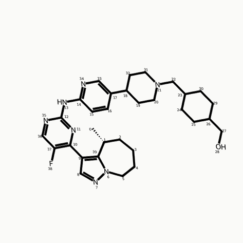 C[C@@H]1CCCCn2ncc(-c3nc(Nc4ccc(C5CCN(CC6CCC(CO)CC6)CC5)cn4)ncc3F)c21